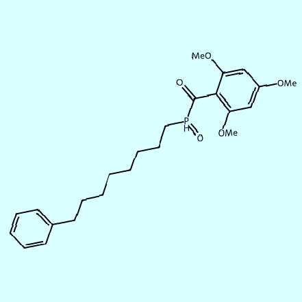 COc1cc(OC)c(C(=O)[PH](=O)CCCCCCCCc2ccccc2)c(OC)c1